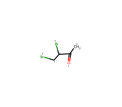 [CH2]C(=O)C(Br)CBr